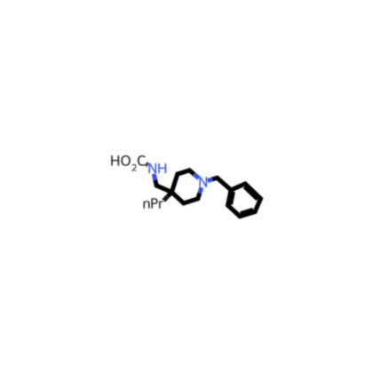 CCCC1(CNC(=O)O)CCN(Cc2ccccc2)CC1